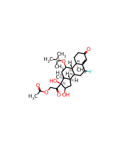 CC(=O)OCC(=O)[C@@]1(O)C(O)C[C@H]2[C@@H]3CC(F)C4=CC(=O)CC[C@]4(C)[C@H]3C(O[Si](C)(C)C)C[C@@]21C